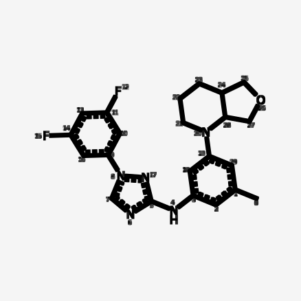 Cc1cc(Nc2ncn(-c3cc(F)cc(F)c3)n2)cc(N2CCCC3COCC32)c1